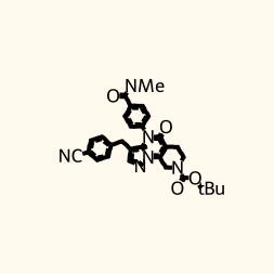 CNC(=O)c1ccc(-n2c(=O)c3c(n4ncc(Cc5ccc(C#N)cc5)c24)CN(C(=O)OC(C)(C)C)CC3)cc1